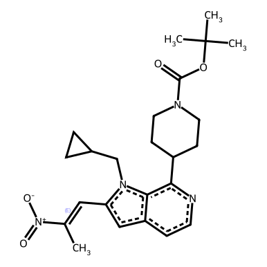 C/C(=C\c1cc2ccnc(C3CCN(C(=O)OC(C)(C)C)CC3)c2n1CC1CC1)[N+](=O)[O-]